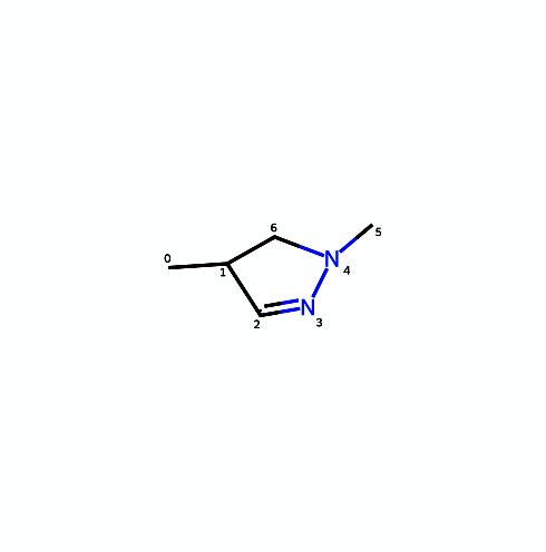 CC1[C]=NN(C)C1